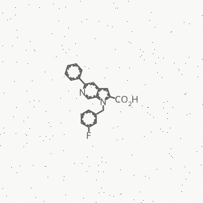 O=C(O)c1cc2cc(-c3ccccc3)ncc2n1Cc1cccc(F)c1